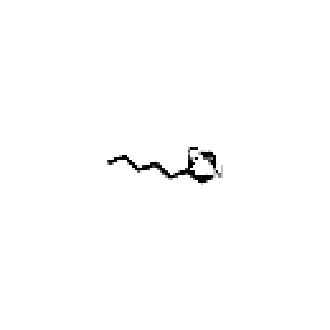 CCCCCc1cnco1